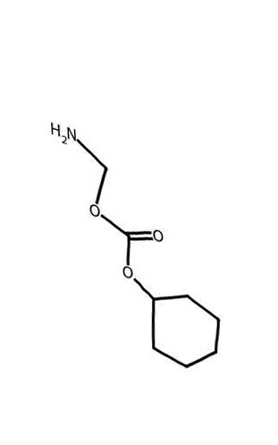 NCOC(=O)OC1CCCCC1